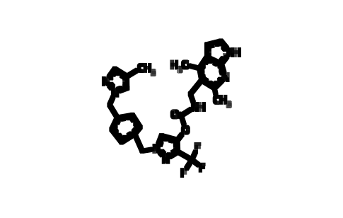 Cc1cnn(Cc2ccc(Cn3cc(OC(=O)NCc4c(C)nc5[nH]ccc5c4C)c(C(F)(F)F)n3)cc2)c1